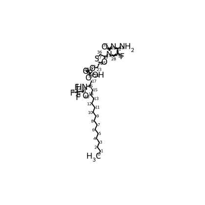 CCCCCCCCCCCCCCCC[C@H](COP(=O)(O)OC[C@@H]1O[C@H](n2cc(F)c(N)nc2=O)CS1)NC(=O)C(F)(F)F